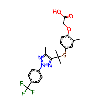 Cc1cc(SC(C)(C)c2nn(-c3ccc(C(F)(F)F)cc3)nc2C)ccc1OCC(=O)O